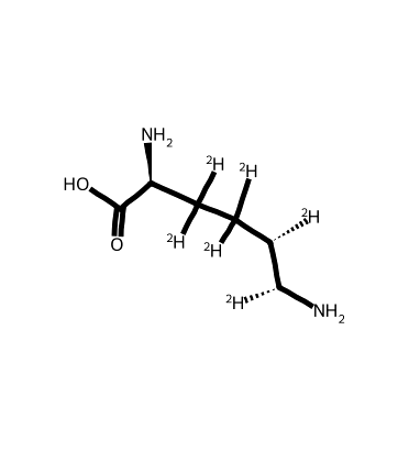 [2H][C@H]([C@@H]([2H])N)C([2H])([2H])C([2H])([2H])[C@H](N)C(=O)O